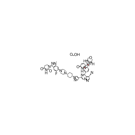 Cn1nc(N2CCC(=O)NC2=O)c2cc(F)c(N3CCN([C@H]4CC[C@@H](n5cc(-c6cn7ncc(C#N)c7c(-c7ccc(N8C[C@H]9COC[C@@H](C8)N9Cc8ccc(=O)[nH]c8)nc7)n6)cn5)CC4)CC3)cc21.O=CO